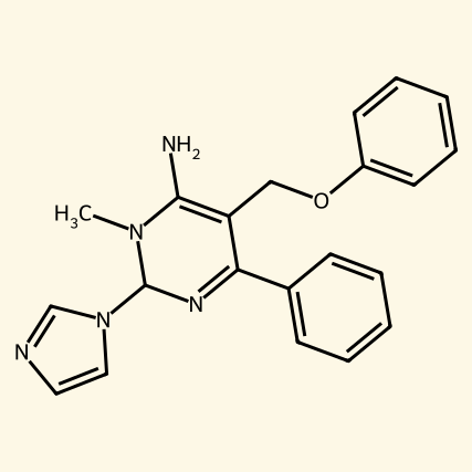 CN1C(N)=C(COc2ccccc2)C(c2ccccc2)=NC1n1ccnc1